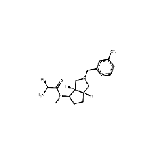 CC(C)[C@H](N)C(=O)N(C)[C@@H]1CC[C@H]2CN(Cc3cccc(C(F)(F)F)c3)C[C@H]21